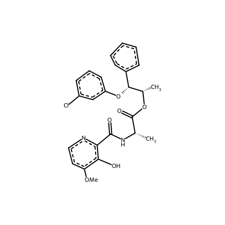 COc1ccnc(C(=O)N[C@@H](C)C(=O)O[C@@H](C)[C@H](Oc2cccc(Cl)c2)c2ccccc2)c1O